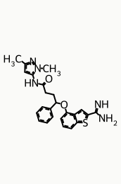 Cc1cc(NC(=O)CCC(Oc2cccc3sc(C(=N)N)cc23)c2ccccc2)n(C)n1